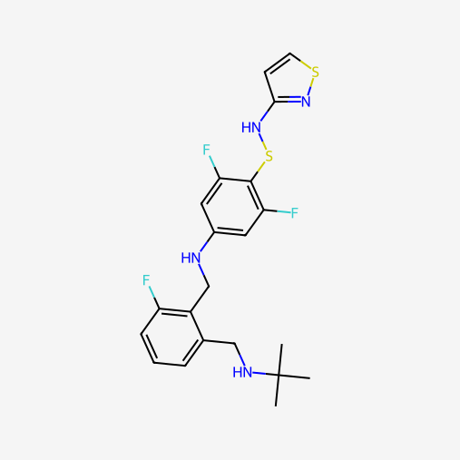 CC(C)(C)NCc1cccc(F)c1CNc1cc(F)c(SNc2ccsn2)c(F)c1